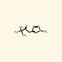 Cn1nnc(CC(=O)C(C)(C)C)n1